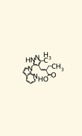 CCC(=Cc1c(C)n[nH]c1-n1ccc2cccnc21)C(=O)O